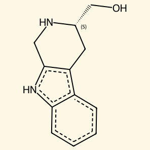 OC[C@@H]1Cc2c([nH]c3ccccc23)CN1